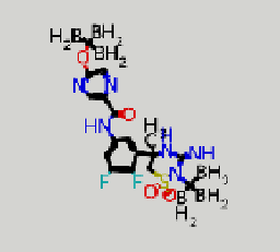 BC(B)(B)Oc1cnc(C(=O)Nc2cc(F)c(F)c([C@]3(C)CS(=O)(=O)N(C(B)(B)B)C(=N)N3)c2)cn1